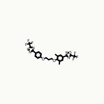 Cc1cc(-c2noc(C(F)(F)F)n2)cc(C)c1OCCCOc1ccc(-c2noc(C(F)(F)F)n2)cc1